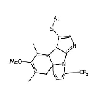 COC1=C(C)CC23C=CC=C(C(F)(F)F)N2c2ncc(SC(C)=O)n2C3=C1C